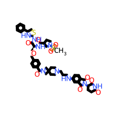 CS(=O)(=O)N1CCC(C(=O)N[C@@H](COCc2ccc(C(=O)N3CC4(CCN(CCCNc5ccc6c(c5)C(=O)N(C5CCC(=O)NC5=O)C6=O)CC4)C3)cc2)C(=O)NC2NC(c3ccccc3)CS2)C1